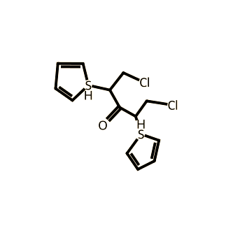 O=C(C(CCl)[SH]1C=CC=C1)C(CCl)[SH]1C=CC=C1